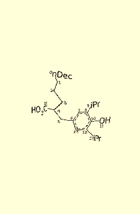 CCCCCCCCCCCCCC(Cc1cc(C(C)C)c(O)c(C(C)C)c1)C(=O)O